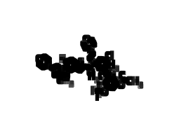 CC(C)Oc1cc(OC(F)(F)F)cc(C(C)(C)c2cc(Cl)cc(N(CCN3CCOCC3)C(=O)c3cc4cc(N(CCN5CCOCC5)S(C)(=O)=O)c(F)cc4s3)c2)c1